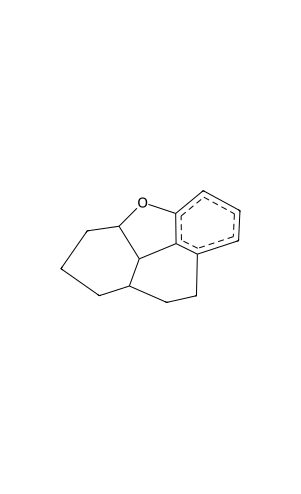 c1cc2c3c(c1)OC1CCCC(CC2)C31